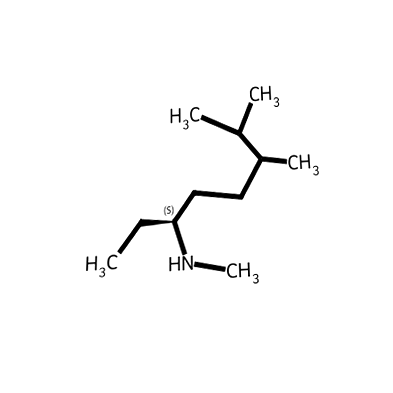 CC[C@@H](CCC(C)C(C)C)NC